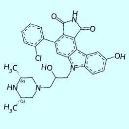 C[C@@H]1CN(CC(O)Cn2c3ccc(O)cc3c3c4c(c(-c5ccccc5Cl)cc32)C(=O)NC4=O)C[C@H](C)N1